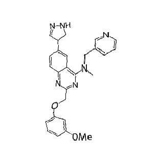 COc1cccc(OCc2nc(N(C)Cc3cccnc3)c3cc(C4C=NNC4)ccc3n2)c1